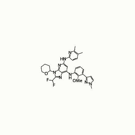 COc1c(Nc2cc(Nc3ccc(C)c(C)n3)nc3c2nc(C(F)F)n3C2CCCCO2)cccc1-c1ccn(C)n1